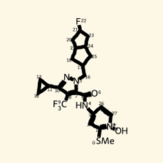 CSc1cc(NC(=O)c2c(C(F)(F)F)c(C3CC3)nn2CC2CC3CC(F)CC3C2)cc[n+]1O